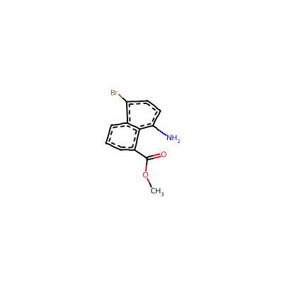 COC(=O)c1cccc2c(Br)ccc(N)c12